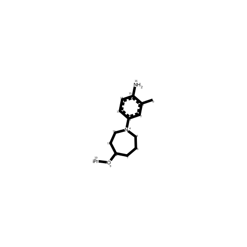 Cc1cc(N2CCCC(OC(C)C)CC2)ccc1N